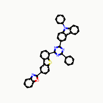 c1ccc(-c2nc(-c3ccc4c(c3)c3ccccc3n4-c3ccccc3)nc(-c3cccc4c3sc3ccc(-c5nc6ccccc6o5)cc34)n2)cc1